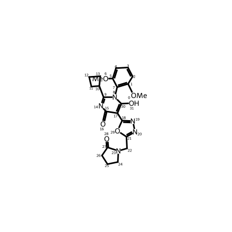 COc1cccc(OC)c1-n1c(C2CCC2)nc(=O)c(-c2nnc(CN3CCCC3=O)o2)c1O